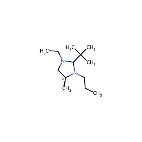 CCCN1C(C(C)(C)C)N(CC)C[C@@H]1C